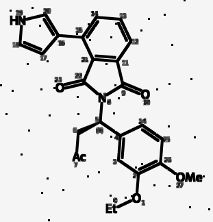 CCOc1cc([C@@H](CC(C)=O)N2C(=O)c3cccc(-c4cc[nH]c4)c3C2=O)ccc1OC